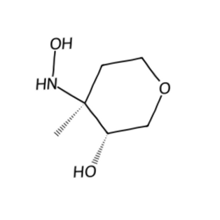 C[C@]1(NO)CCOC[C@@H]1O